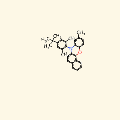 Cc1ccc2c(c1)N(c1c(C)cc(C(C)(C)C)cc1C)c1ccc3ccccc3c1O2